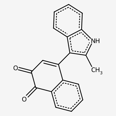 Cc1[nH]c2ccccc2c1C1=CC(=O)C(=O)c2ccccc21